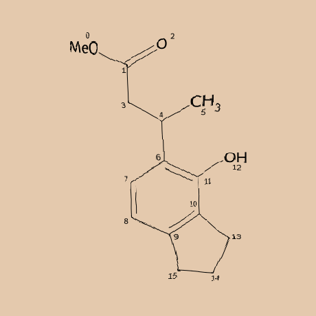 COC(=O)CC(C)c1ccc2c(c1O)CCC2